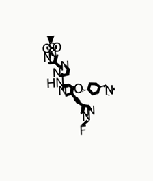 CN(C)C[C@H]1CC[C@H](COc2cc(Nc3ccnc(-c4cnn(S(=O)(=O)C5CC5)c4)n3)ncc2C#Cc2cnn(CCF)c2)CC1